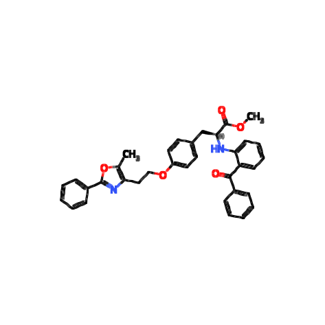 COC(=O)[C@H](Cc1ccc(OCCc2nc(-c3ccccc3)oc2C)cc1)Nc1ccccc1C(=O)c1ccccc1